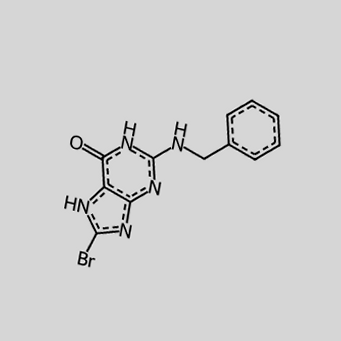 O=c1[nH]c(NCc2ccccc2)nc2nc(Br)[nH]c12